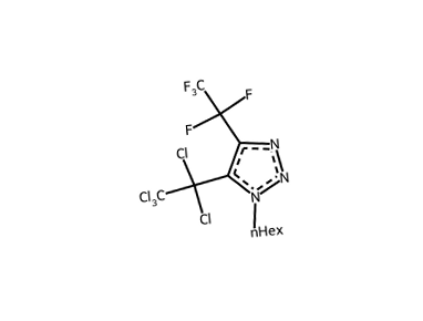 CCCCCCn1nnc(C(F)(F)C(F)(F)F)c1C(Cl)(Cl)C(Cl)(Cl)Cl